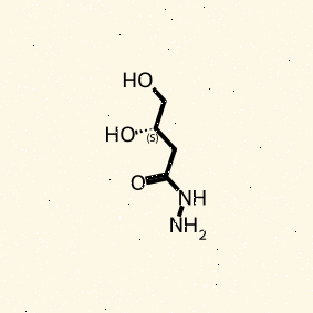 NNC(=O)C[C@H](O)CO